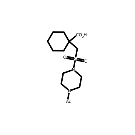 CC(=O)N1CCN(S(=O)(=O)CC2(C(=O)O)CCCCC2)CC1